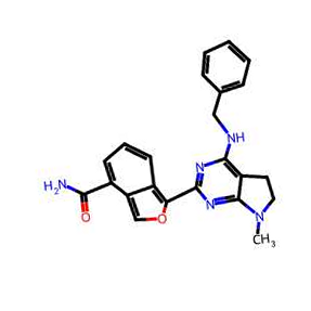 CN1CCc2c(NCc3ccccc3)nc(-c3occ4c(C(N)=O)cccc34)nc21